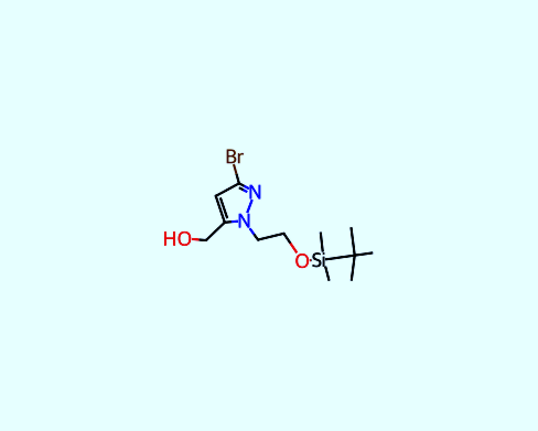 CC(C)(C)[Si](C)(C)OCCn1nc(Br)cc1CO